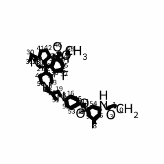 C=CC(=O)Nc1cc(F)cc(S(=O)(=O)c2ccc(N3CC(CN4CCC([C@@](CN5CCC5)(c5cccc(F)c5)[C@H]5CCC[C@@H]5NC(=O)OC)CC4)C3)cc2)c1